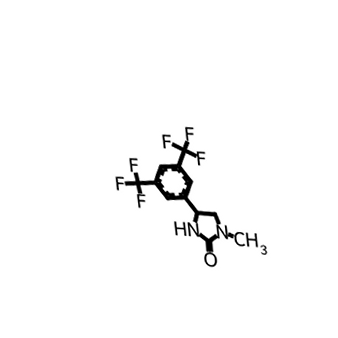 CN1CC(c2cc(C(F)(F)F)cc(C(F)(F)F)c2)NC1=O